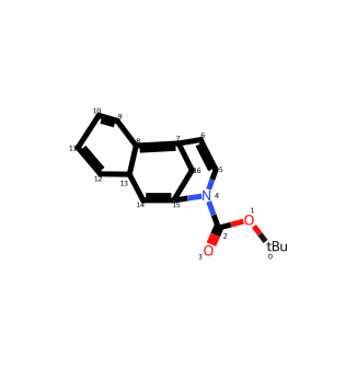 CC(C)(C)OC(=O)N1C=CC2=C3C=CC=CC3C=C1C2